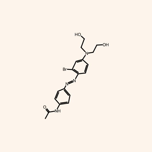 CC(=O)Nc1ccc(/N=N/c2ccc(N(CCO)CCO)cc2Br)cc1